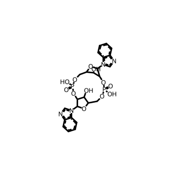 O=P1(O)OCC2OC(n3cnc4ccccc43)C(OP(=O)(O)OCC3OC(n4cnc5ccccc54)C(O1)C3O)C2O